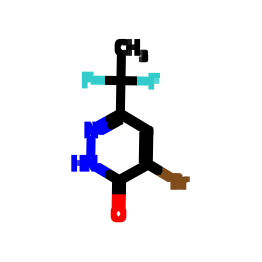 CC(F)(F)c1cc(Br)c(=O)[nH]n1